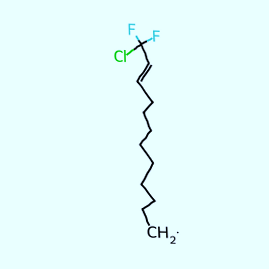 [CH2]CCCCCCCCC=CC(F)(F)Cl